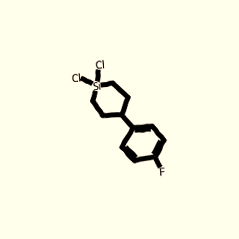 Fc1ccc(C2CC[Si](Cl)(Cl)CC2)cc1